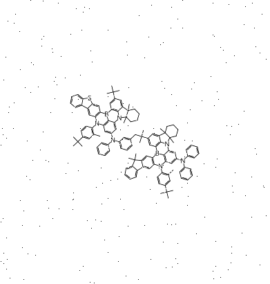 Cc1cc(C(C)(C)C)ccc1N1c2cc3c(cc2B2c4cc(C(C)(C)C)cc5c4N(c4cc(N(c6ccccc6)c6cccc(CC(C)(C)c7cc8c9c(c7)C7(C)CCCCC7(C)N9c7cc(N(c9ccccc9)c9ccccc9)cc9c7B8c7cc8c(cc7N9c7ccc(C(C)(C)C)cc7C)-c7ccccc7C8(C)C)c6)cc1c42)C1(C)CCCCC51C)sc1ccccc13